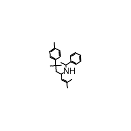 CC(C)=CC(CC(C)(C)c1ccc(C)cc1)NC(C)c1ccccc1